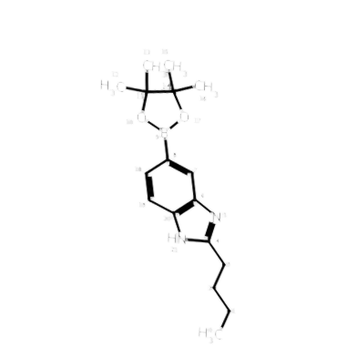 CCCCc1nc2cc(B3OC(C)(C)C(C)(C)O3)ccc2[nH]1